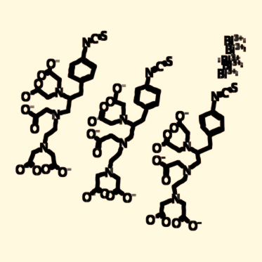 O=C([O-])CN(CCN(CC(=O)[O-])CC(Cc1ccc(N=C=S)cc1)N(CC(=O)[O-])CC(=O)[O-])CC(=O)[O-].O=C([O-])CN(CCN(CC(=O)[O-])CC(Cc1ccc(N=C=S)cc1)N(CC(=O)[O-])CC(=O)[O-])CC(=O)[O-].O=C([O-])CN(CCN(CC(=O)[O-])CC(Cc1ccc(N=C=S)cc1)N(CC(=O)[O-])CC(=O)[O-])CC(=O)[O-].[Bi+3].[Bi+3].[Bi+3].[Bi+3].[Bi+3]